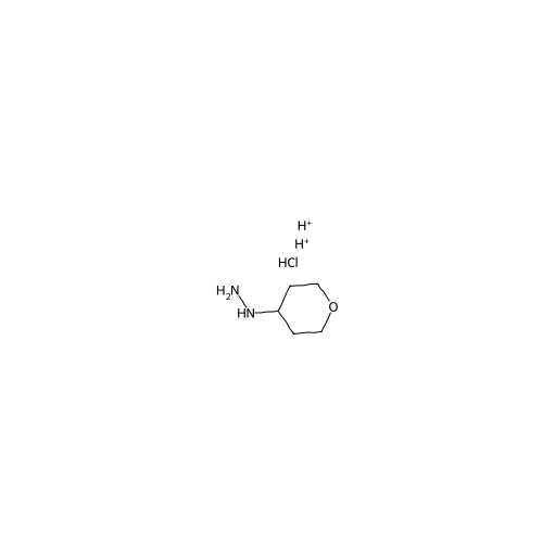 Cl.NNC1CCOCC1.[H+].[H+]